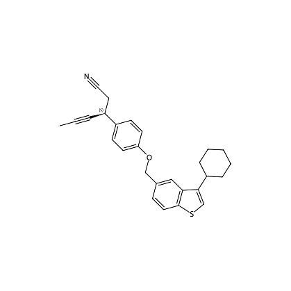 CC#C[C@@H](CC#N)c1ccc(OCc2ccc3scc(C4CCCCC4)c3c2)cc1